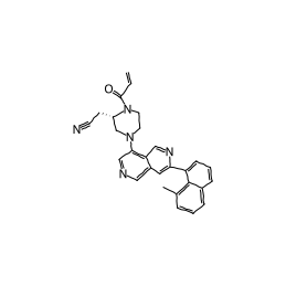 C=CC(=O)N1CCN(c2cncc3cc(-c4cccc5cccc(C)c45)ncc23)C[C@@H]1CC#N